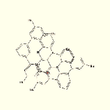 CC(C)(C)c1cc(-c2cccc(-c3cc(C(C)(C)C)cc(C(C)(C)C)c3)c2N2c3ccccc3B3c4ccccc4N(c4c(-c5cc(C(C)(C)C)cc(C(C)(C)C)c5)cccc4-c4cc(C(C)(C)C)cc(C(C)(C)C)c4)c4cccc2c43)cc(C(C)(C)C)c1